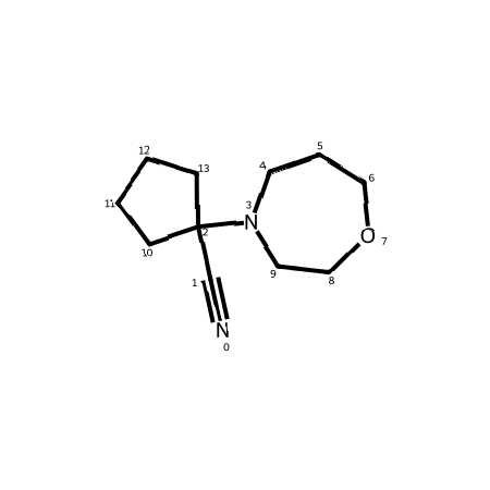 N#CC1(N2CCCOCC2)CCCC1